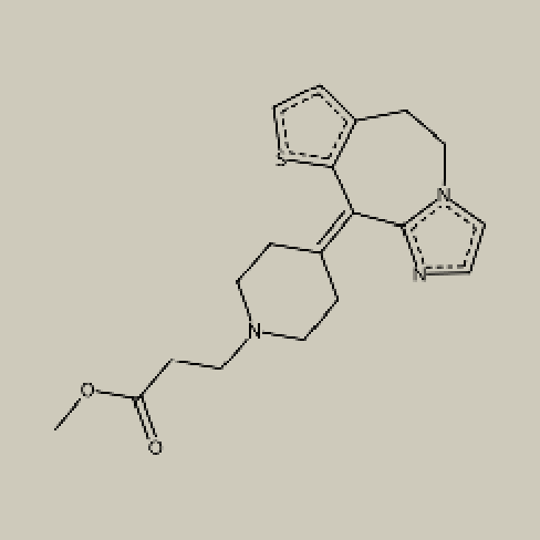 COC(=O)CCN1CCC(=C2c3sccc3CCn3ccnc32)CC1